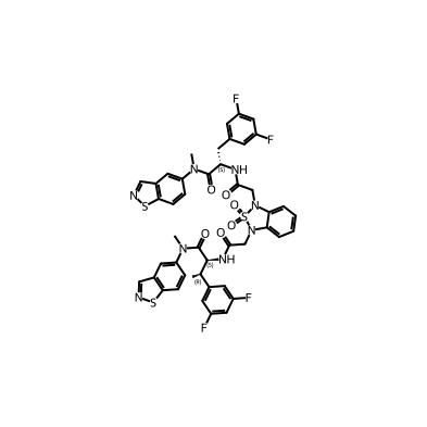 C[C@H](c1cc(F)cc(F)c1)[C@H](NC(=O)CN1c2ccccc2N(CC(=O)N[C@@H](Cc2cc(F)cc(F)c2)C(=O)N(C)c2ccc3sncc3c2)S1(=O)=O)C(=O)N(C)c1ccc2sncc2c1